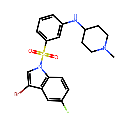 CN1CCC(Nc2cccc(S(=O)(=O)n3cc(Br)c4cc(F)ccc43)c2)CC1